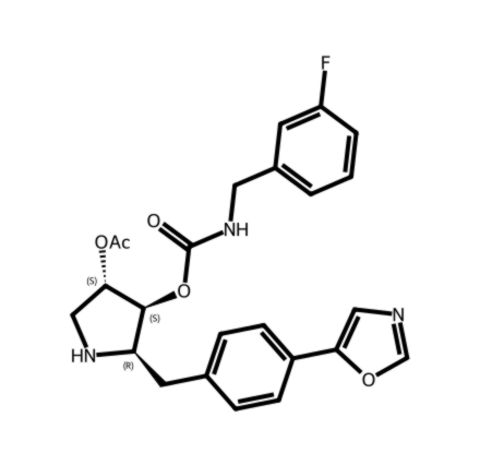 CC(=O)O[C@H]1CN[C@H](Cc2ccc(-c3cnco3)cc2)[C@@H]1OC(=O)NCc1cccc(F)c1